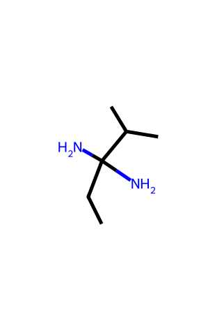 CCC(N)(N)C(C)C